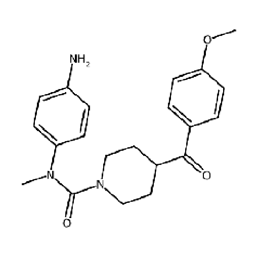 COc1ccc(C(=O)C2CCN(C(=O)N(C)c3ccc(N)cc3)CC2)cc1